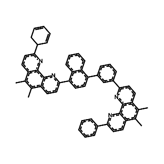 Cc1c(C)c2ccc(-c3cccc(-c4ccc(-c5ccc6c(C)c(C)c7ccc(C8C=CC=CC8)nc7c6n5)c5ccccc45)c3)nc2c2nc(-c3ccccc3)ccc12